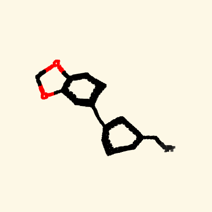 CC(C)Cc1cccc(-c2ccc3c(c2)OCO3)c1